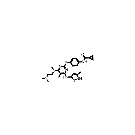 Cc1cc(Nc2nc(Sc3ccc(NC(=O)C4CC4)cc3)nc(N(C)CCN(C)C)c2C)n[nH]1